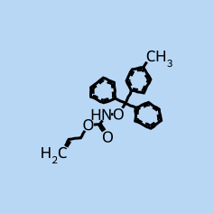 C=CCOC(=O)NOC(c1ccccc1)(c1ccccc1)c1ccc(C)cc1